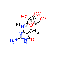 CCN(c1nc(N)[nH]c(=O)c1C)[C@@H]1O[C@H](CO)[C@@H](O)[C@H]1O